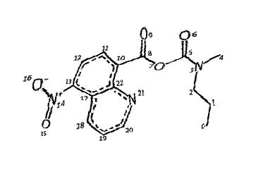 CCCN(C)C(=O)OC(=O)c1ccc([N+](=O)[O-])c2cccnc12